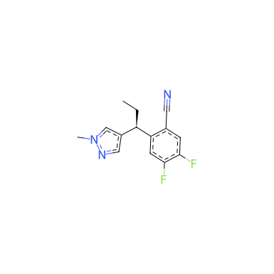 CC[C@H](c1cnn(C)c1)c1cc(F)c(F)cc1C#N